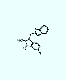 O=C1c2cc(I)ccc2N(Cc2cc3ccccc3s2)C1O